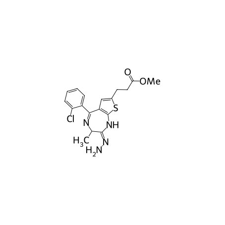 COC(=O)CCc1cc2c(s1)NC(=NN)C(C)N=C2c1ccccc1Cl